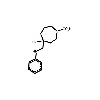 O=C(O)N1CCCC(O)(CNc2ccccc2)CC1